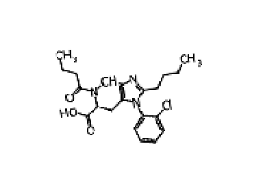 CCCCc1ncc(C[C@@H](C(=O)O)N(C)C(=O)CCC)n1-c1ccccc1Cl